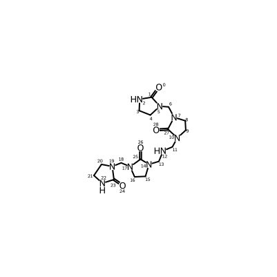 O=C1NCCN1CN1CCN(CNCN2CCN(CN3CCNC3=O)C2=O)C1=O